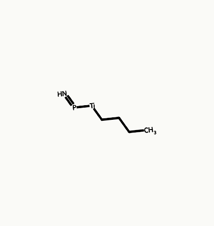 CCC[CH2][Ti][P]=N